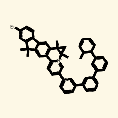 CCc1ccc2c(c1)C(C)(C)c1cc3c(cc1-2)C1(C)CC1(C)[n+]1cc(-c2cccc(-c4cccc(-c5cccc(C6C=CC=CC6C)c5)c4)c2)ccc1-3